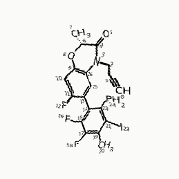 C#CCN1C(=O)[C@@H](C)Oc2cc(F)c(-c3c(F)c(F)c(C)c(I)c3P)cc21